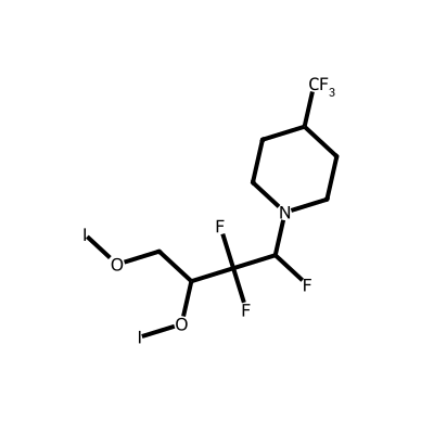 FC(N1CCC(C(F)(F)F)CC1)C(F)(F)C(COI)OI